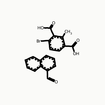 Cc1c(C(=O)O)ccc(Br)c1C(=O)O.O=Cc1cccc2ccccc12